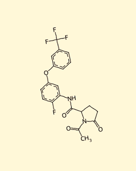 CC(=O)N1C(=O)CCC1C(=O)Nc1cc(Oc2cccc(C(F)(F)F)c2)ccc1F